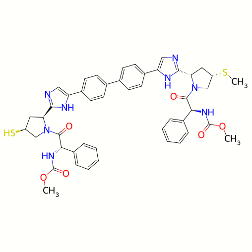 COC(=O)N[C@H](C(=O)N1C[C@@H](S)C[C@H]1c1ncc(-c2ccc(-c3ccc(-c4cnc([C@@H]5C[C@H](SC)CN5C(=O)[C@@H](NC(=O)OC)c5ccccc5)[nH]4)cc3)cc2)[nH]1)c1ccccc1